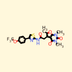 Cc1oc2c(c1CC(=O)Nc1nc(-c3ccc(OC(F)(F)F)cc3)cs1)c(=O)n(C)c(=O)n2C